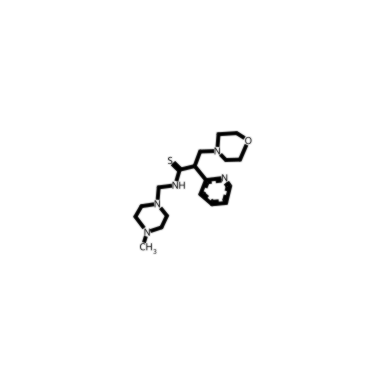 CN1CCN(CNC(=S)C(CN2CCOCC2)c2ccccn2)CC1